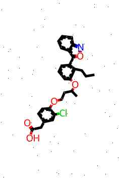 CCCc1c(OC(C)CCOc2ccc(CC(=O)O)cc2Cl)cccc1-c1onc2ccccc12